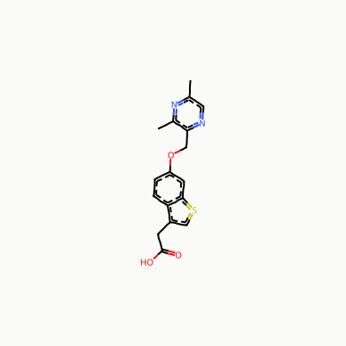 Cc1cnc(COc2ccc3c(CC(=O)O)csc3c2)c(C)n1